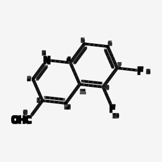 O=Cc1cnc2ccc(F)c(F)c2c1